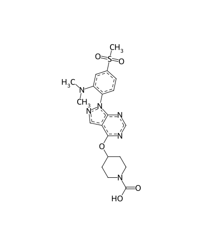 CN(C)c1cc(S(C)(=O)=O)ccc1-n1ncc2c(OC3CCN(C(=O)O)CC3)ncnc21